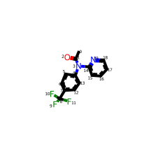 CC(=O)N(c1ccc(C(F)(F)F)cc1)c1ccccn1